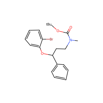 CN(CCC(Oc1ccccc1Br)c1ccccc1)C(=O)OC(C)(C)C